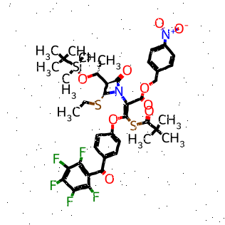 CCS[C@@H]1[C@@H]([C@@H](C)O[Si](C)(C)C(C)(C)C)C(=O)N1C(C(=O)OCc1ccc([N+](=O)[O-])cc1)=C(Oc1ccc(C(=O)c2c(F)c(F)c(F)c(F)c2F)cc1)SC(=O)C(C)(C)C